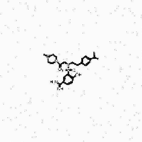 CC(C)c1ccc(CCN(CC(=O)N2CCN(C)CC2)S(=O)(=O)c2cc(C(=N)N)ccc2O)cc1